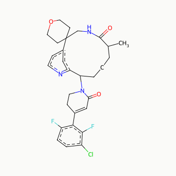 CC1CCCC(N2CCC(c3c(F)ccc(Cl)c3F)=CC2=O)c2cc(ccn2)C2(CCOCC2)CNC1=O